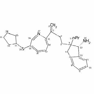 C=C(CCC1(CCC)Cc2ccccc2[C@H]1N)C1=CC=C=C(SC2CCCC2)C=N1